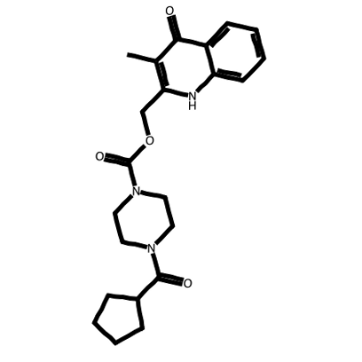 Cc1c(COC(=O)N2CCN(C(=O)C3CCCC3)CC2)[nH]c2ccccc2c1=O